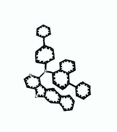 c1ccc(-c2ccc(N(c3ccc(-c4ccccc4)c4ccccc34)c3nccc4oc5cc6ccccc6cc5c34)cc2)cc1